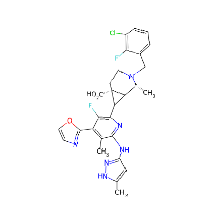 Cc1cc(Nc2nc(C3C4[C@@H](C)N(Cc5cccc(Cl)c5F)CC[C@]34C(=O)O)c(F)c(-c3ncco3)c2C)n[nH]1